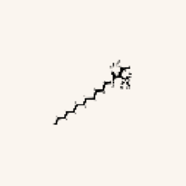 CCCCCCCCCCCCOC(=O)/C(=C(/C)O)S(C)(=O)=O